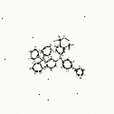 CC1(C)CCC(C)(C)c2cc(N(c3ccc(-c4ccccc4)cc3)c3ccc4c(c3)C(c3ccccc3)(c3ccccc3)c3ccccc3-4)ccc21